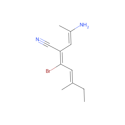 CC/C(C)=C/C(Br)=C(C#N)\C=C(/C)N